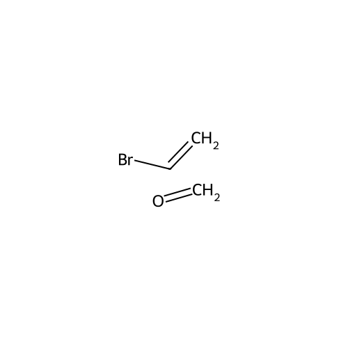 C=CBr.C=O